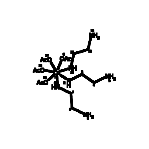 CC(=O)[O][Cd]([NH]CCN)([NH]CCN)([NH]CCN)([O]C(C)=O)([O]C(C)=O)[O]C(C)=O